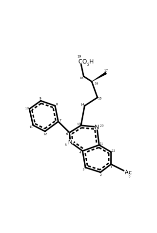 CC(=O)c1ccc2nc(-c3ccccc3)c(CC[C@H](C)CC(=O)O)nc2c1